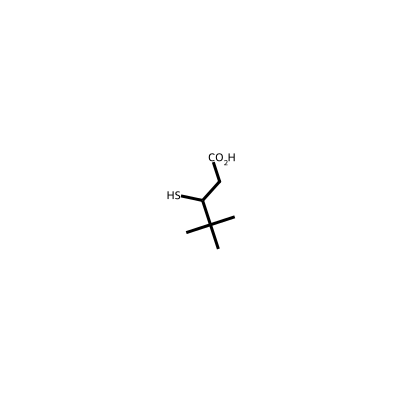 CC(C)(C)C(S)CC(=O)O